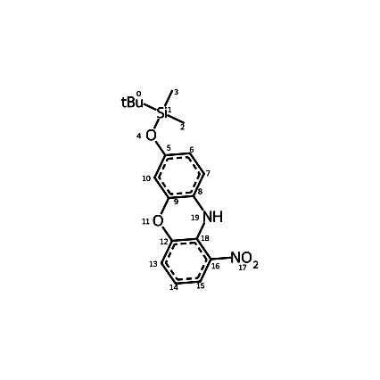 CC(C)(C)[Si](C)(C)Oc1ccc2c(c1)Oc1cccc([N+](=O)[O-])c1N2